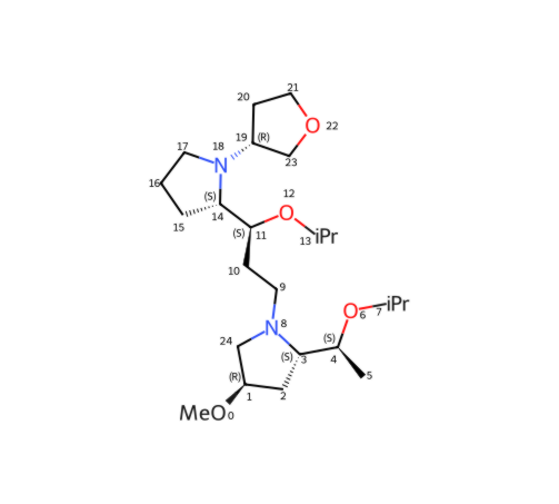 CO[C@@H]1C[C@@H]([C@H](C)OC(C)C)N(CC[C@H](OC(C)C)[C@@H]2CCCN2[C@@H]2CCOC2)C1